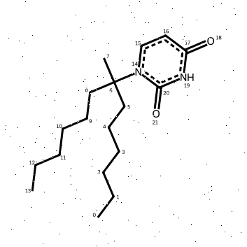 CCCCCCC(C)(CCCCCC)n1ccc(=O)[nH]c1=O